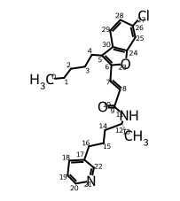 CCCCCc1c(/C=C/C(=O)N[C@H](C)CCCc2cccnc2)oc2cc(Cl)ccc12